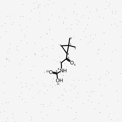 CC1(C)CC1C(=O)CNC(=O)O